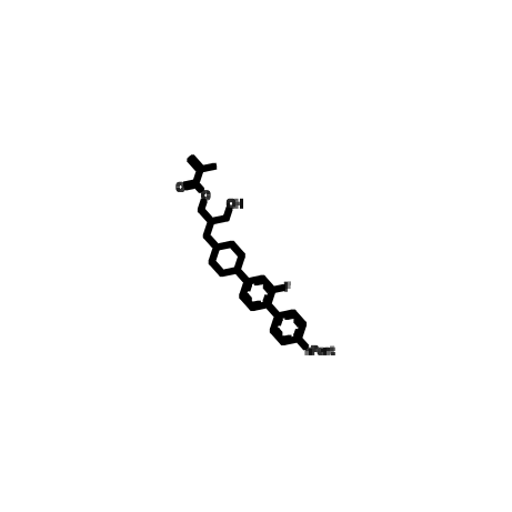 C=C(C)C(=O)OCC(CO)CC1CCC(c2ccc(-c3ccc(CCCCC)cc3)c(F)c2)CC1